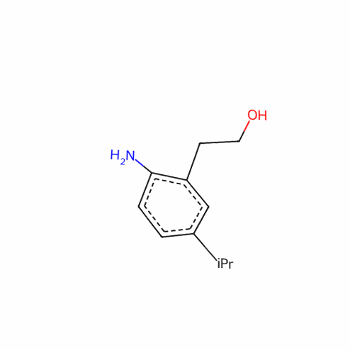 CC(C)c1ccc(N)c(CCO)c1